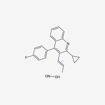 C/C=C/c1c(C2CC2)nc2ccccc2c1-c1ccc(F)cc1.O=NO